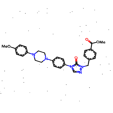 COC(=O)c1ccc(Cn2ncn(-c3ccc(N4CCN(c5ccc(OC)cc5)CC4)cc3)c2=O)cc1